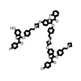 O=C(c1ccc(F)cc1)c1sc2cc(O)ccc2c1Oc1ccc(CCN2CC(Oc3ccc4c(Oc5ccc(CCN6CC(Oc7ccc8c(Oc9ccc(CCN%10CCC%10)cc9)c(C(=O)c9ccc(Cl)cc9)sc8c7)C6)cc5)c(C(=O)c5ccccc5F)sc4c3)C2)cc1